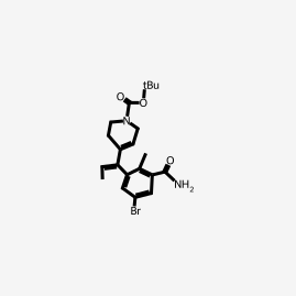 C/C=C(/C1=CCN(C(=O)OC(C)(C)C)CC1)c1cc(Br)cc(C(N)=O)c1C